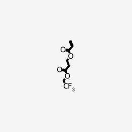 C=CC(=O)OCCC(=O)OCC(F)(F)F